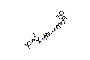 CCCO[C@@H](CC(=O)[C@H](C)/C=C(\C)[C@@H](O)[C@@H](OC)C(=O)[C@H](C)C[C@H](C)/C=C/C=C/C(C)=C(\C)[C@@H](OC)[C@H](C)[C@@H]1CC[C@@H](C)[C@](O)(C(=O)C(=O)N2CCCC[C@H]2C=O)O1)[C@H](C)C[C@@H]1CC[C@@H](O)[C@H](OC)C1